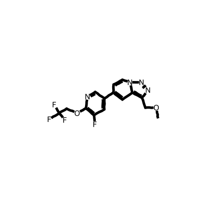 COCc1nnn2ccc(-c3cnc(OCC(F)(F)F)c(F)c3)cc12